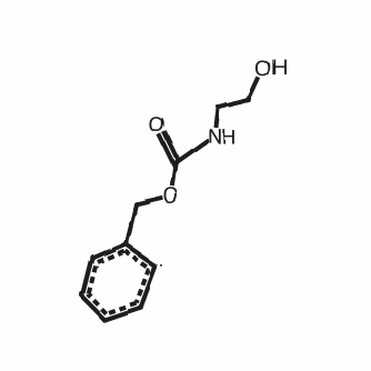 O=C(NCCO)OCc1[c]cccc1